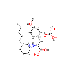 CCCCCC1CCCCC1.COc1ccc(C[C@H](N)C(=O)O)cc1.O=C(O)O